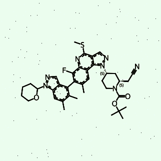 CSc1nc2c(F)c(-c3c(C)c(C)cc4c3cnn4C3CCCCO3)c(C)cc2c2c1cnn2[C@H]1CCN(C(=O)OC(C)(C)C)[C@H](CC#N)C1